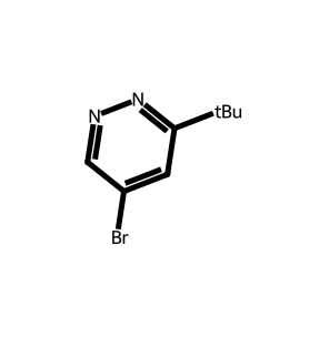 CC(C)(C)c1cc(Br)cnn1